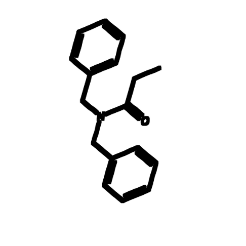 CCC(=O)N(Cc1ccccc1)Cc1ccccc1